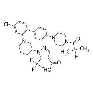 CC(C)(F)C(=O)N1CCN(c2ccc(-c3ccc(Cl)cc3N3CCCC(n4ncc(C(=O)O)c4C(F)(F)F)C3)cc2)CC1